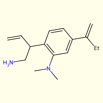 C=CC(CN)c1ccc(C(=C)CC)cc1N(C)C